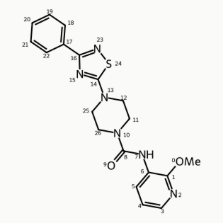 COc1ncccc1NC(=O)N1CCN(c2nc(-c3ccccc3)ns2)CC1